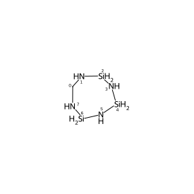 C1N[SiH2]N[SiH2]N[SiH2]N1